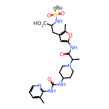 CCCCS(=O)(=O)NC(Cc1cc(NC(=O)C(C)N2CCC(NC(=O)Nc3ncccc3C)CC2)oc1C)C(=O)O